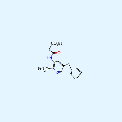 CCOC(=O)CC(=O)Nc1cc(Cc2ccccc2)cnc1C(=O)OCC